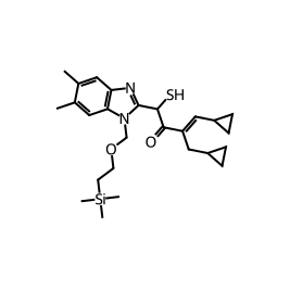 Cc1cc2nc(C(S)C(=O)C(=CC3CC3)CC3CC3)n(COCC[Si](C)(C)C)c2cc1C